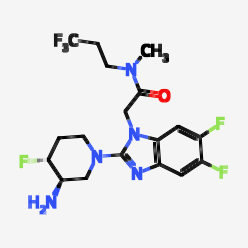 CN(CCC(F)(F)F)C(=O)Cn1c(N2CC[C@@H](F)[C@H](N)C2)nc2cc(F)c(F)cc21